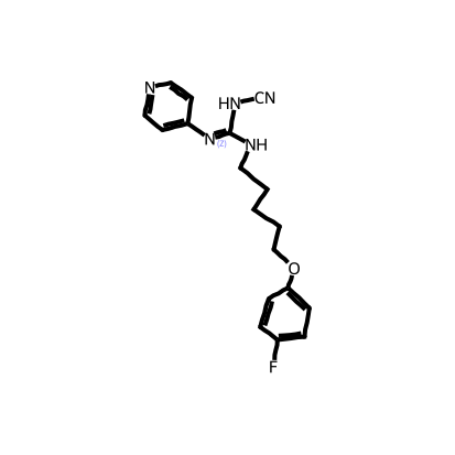 N#CN/C(=N\c1ccncc1)NCCCCCOc1ccc(F)cc1